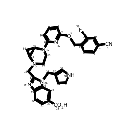 N#Cc1ccc(COc2cccc(N3CCN(Cc4nc5ccc(C(=O)O)cc5n4CC4=CNCC4)C4CC43)n2)c(F)c1